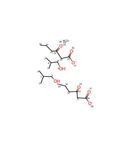 CC(C)CO.CC(C)CO.CCCC(=O)CC(=O)[O-].CCCC(=O)CC(=O)[O-].[Ti+2]